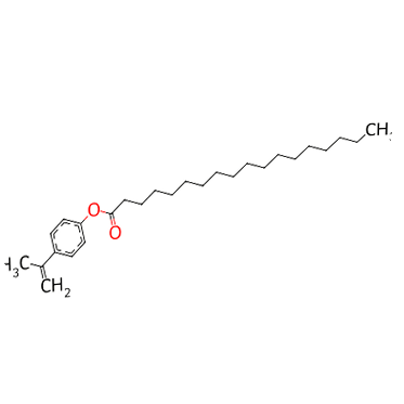 C=C(C)c1ccc(OC(=O)CCCCCCCCCCCCCCCCC)cc1